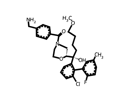 COCCCC[C@@](O)(c1cccc(Cl)c1-c1cc(C)ccc1F)[C@H]1CN(C(=O)c2ccc(CN)cc2)CCO1